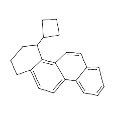 c1ccc2c(c1)ccc1c3c(ccc12)CCCC3C1CCC1